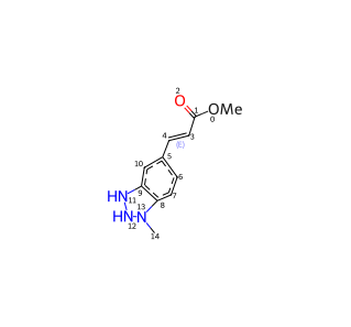 COC(=O)/C=C/c1ccc2c(c1)NNN2C